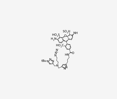 CC(C)(C)n1cc(CN(CCCN=[N+]=[N-])Cc2cn(CCCNC(=O)c3ccc(-c4c5ccc(=N)c(S(=O)(=O)O)c-5oc5c(S(=O)(=O)O)c(N)ccc45)c(C(=O)O)c3)nn2)nn1